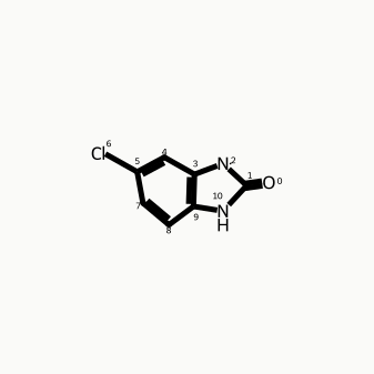 O=C1[N]c2cc(Cl)ccc2N1